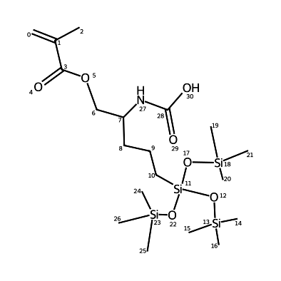 C=C(C)C(=O)OCC(CCC[Si](O[Si](C)(C)C)(O[Si](C)(C)C)O[Si](C)(C)C)NC(=O)O